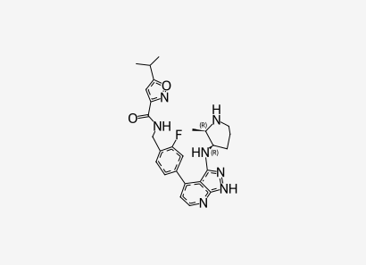 CC(C)c1cc(C(=O)NCc2ccc(-c3ccnc4[nH]nc(N[C@@H]5CCCN[C@@H]5C)c34)cc2F)no1